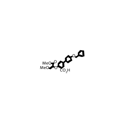 COC=C(Oc1ccc(-c2ccc(OCc3ccccc3)cc2)cc1C(=O)O)C(=O)OC